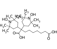 CC1(C)CC(C(CCCCCCC(=O)O)(C(=O)O)C2CC(C)(C)N(O)C(C)(C)C2)CC(C)(C)N1O